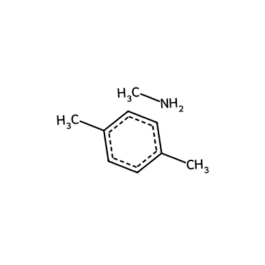 CN.Cc1ccc(C)cc1